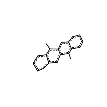 Ic1c2ccccc2cc2c(I)c3ccccc3cc12